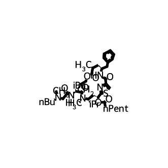 C=CCOC(=O)[C@@H](C)C[C@H](Cc1ccccc1)NC(=O)c1csc([C@@H](C[C@H](C(C)C)N(C)C(=O)[C@@H](NC(=O)CN(C)CCCC)[C@@H](C)CC)OC(=O)CCCCC)n1